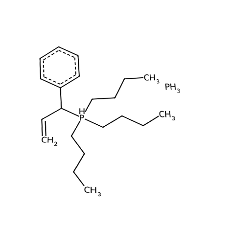 C=CC(c1ccccc1)[PH](CCCC)(CCCC)CCCC.P